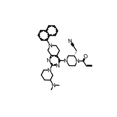 C=CC(=O)N1CCN(c2nc(N3CCCC(N(C)C)C3)nc3c2CCN(c2cccc4ccccc24)C3)C[C@@H]1CC#N